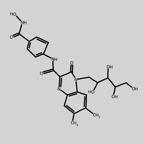 Cc1cc2nc(C(=O)Nc3ccc(C(=O)NO)cc3)c(=O)n(CC(O)C(O)C(O)CO)c2cc1C